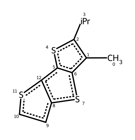 Cc1c(C(C)C)sc2c1sc1ccsc12